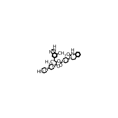 Cc1cc([C@@H](C)C(OC(=O)N2CCC(N3CCc4ccccc4NC3=O)CC2)C(=O)N2CCC(N3CCNCC3)CC2)cc2nc[nH]c12